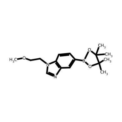 COCCn1cnc2cc(B3OC(C)(C)C(C)(C)O3)ccc21